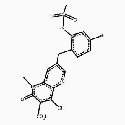 Cn1c(=O)c(C(=O)O)c(O)c2ncc(Cc3ccc(F)cc3NS(C)(=O)=O)cc21